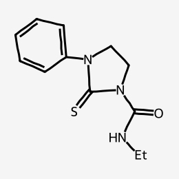 CCNC(=O)N1CCN(c2ccccc2)C1=S